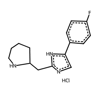 Cl.Fc1ccc(-c2cnc(CC3CCCCN3)[nH]2)cc1